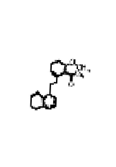 COC1=C(C(=O)OI)C(CCc2cccc3c2C=CCC3)=CCC1